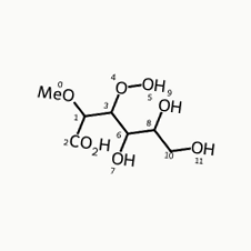 COC(C(=O)O)C(OO)C(O)C(O)CO